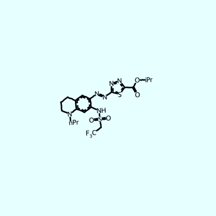 CCCN1CCCc2cc(N=Nc3nnc(C(=O)OC(C)C)s3)c(NS(=O)(=O)CC(F)(F)F)cc21